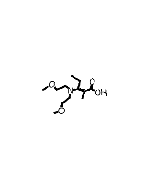 CCC(=C(C)C(=O)O)N(CCOC)CCOC